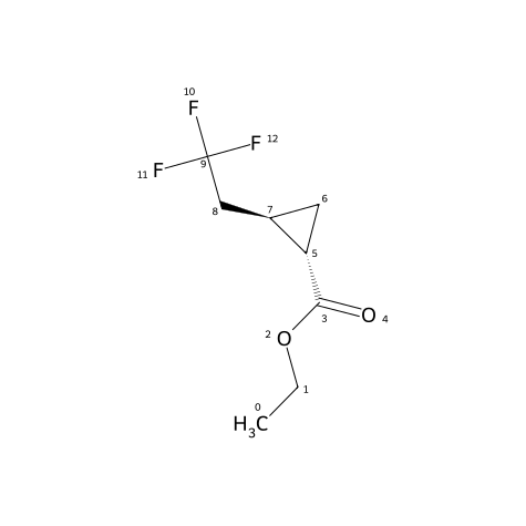 CCOC(=O)[C@H]1C[C@@H]1CC(F)(F)F